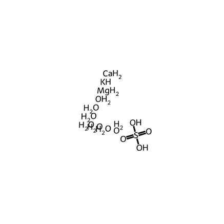 O.O.O.O.O.O.O.O=S(=O)(O)O.[CaH2].[KH].[MgH2]